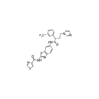 O=C(Nc1nc2ccc(NC(=O)C(CCn3ccnc3)c3cccc(C(F)(F)F)c3)cc2s1)c1cscn1